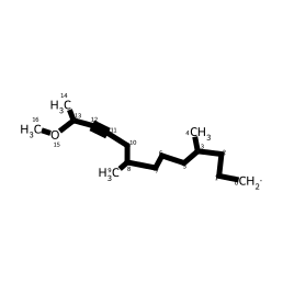 [CH2]CCC(C)CCCC(C)CC#CC(C)OC